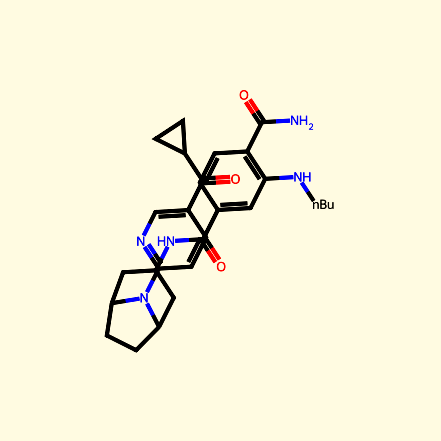 CCCCNc1cc(C(=O)NC2CC3CCC(C2)N3c2ccc(C(=O)C3CC3)cn2)ccc1C(N)=O